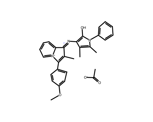 CC(=O)[O-].COc1ccc(C2=C(C)/C(=N\c3c(C)c(C)n(-c4ccccc4)c3O)c3cccc[n+]32)cc1